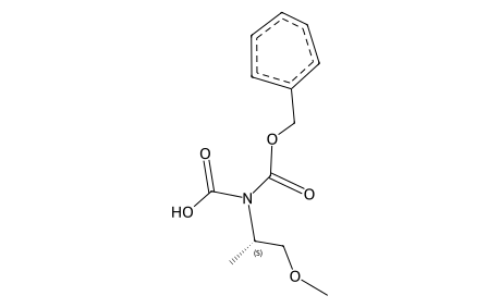 COC[C@H](C)N(C(=O)O)C(=O)OCc1ccccc1